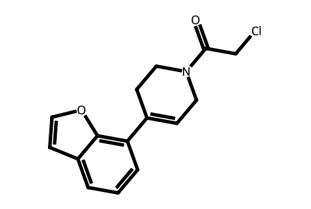 O=C(CCl)N1CC=C(c2cccc3ccoc23)CC1